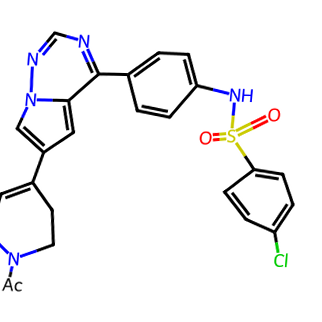 CC(=O)N1CC=C(c2cc3c(-c4ccc(NS(=O)(=O)c5ccc(Cl)cc5)cc4)ncnn3c2)CC1